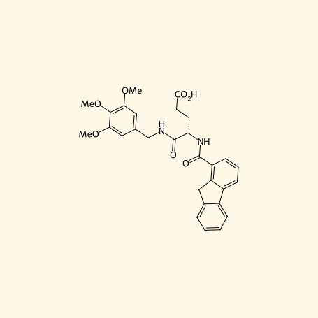 COc1cc(CNC(=O)[C@H](CCC(=O)O)NC(=O)c2cccc3c2Cc2ccccc2-3)cc(OC)c1OC